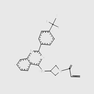 C=CC(=O)N1CC(Nc2nc(-c3ccc(C(F)(F)F)cc3)nc3ccccc23)C1